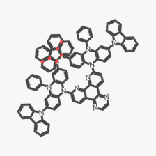 c1ccc(N2c3cc(-n4c5ccccc5c5ccccc54)ccc3N(c3ccc4c5nccnc5c5ccc(N6c7ccc(-n8c9ccccc9c9ccccc98)cc7N(c7ccccc7)c7cc(-n8c9ccccc9c9ccccc98)ccc76)nc5c4n3)c3ccc(-n4c5ccccc5c5ccccc54)cc32)cc1